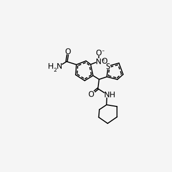 NC(=O)c1ccc(C(C(=O)NC2CCCCC2)c2cccs2)c([N+](=O)[O-])c1